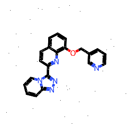 c1cncc(COc2cccc3ccc(-c4nnc5ccccn45)nc23)c1